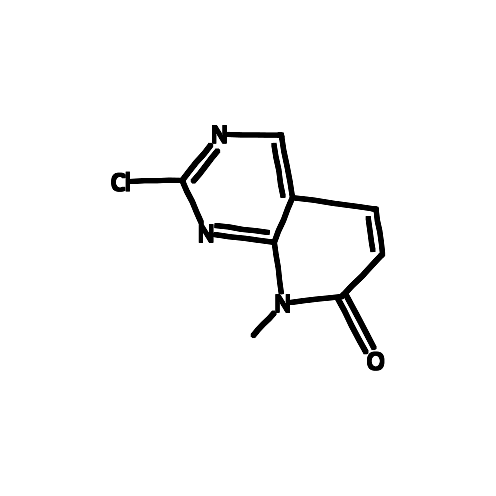 Cn1c(=O)ccc2cnc(Cl)nc21